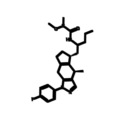 CCCC(C[C@H]1CCC2=C1[C@@H](C)c1cnn(-c3ccc(F)cc3)c1C2)NC(=O)N(C)OC